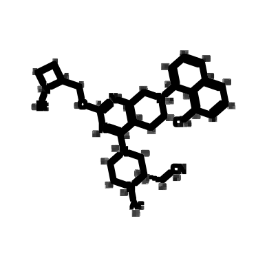 CCN1CCC1COc1nc2c(c(N3CCN(C(C)=O)[C@@H](CC#N)C3)n1)CCN(c1cccc3cccc(Cl)c13)C2